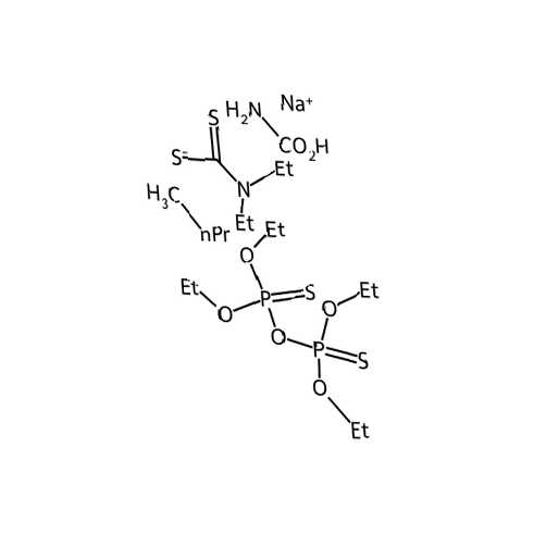 CCCC.CCN(CC)C(=S)[S-].CCOP(=S)(OCC)OP(=S)(OCC)OCC.NC(=O)O.[Na+]